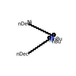 CCCCCCCCCCCCCCCCCCCCCCCCC=CCCCc1ccccc1N=C(CCCC)C(CCCC)=Nc1ccccc1CCCC=CCCCCCCCCCCCCCCCCCCCCCCCC.[Ni]